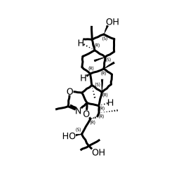 CC1=NC23O[C@@H]([C@H](O)C(C)(C)O)C[C@@H](C)[C@@H]2[C@@]2(C)CC[C@]4(C)[C@@H](CC[C@H]5C(C)(C)[C@@H](O)CC[C@@]54C)[C@]2(C)C3O1